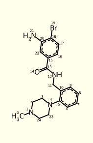 CN1CCN(c2ccccc2CNC(=O)c2ccc(Br)c(N)c2)CC1